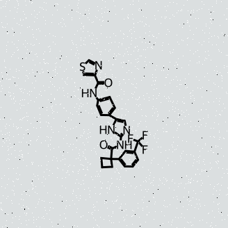 O=C(Nc1ccc(-c2cnc(NC(=O)C3(c4cccc(C(F)(F)F)c4)CCC3)[nH]2)cc1)c1cscn1